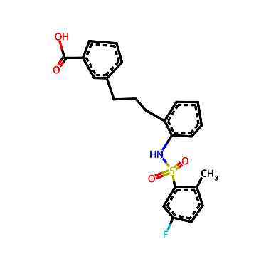 Cc1ccc(F)cc1S(=O)(=O)Nc1ccccc1CCCc1cccc(C(=O)O)c1